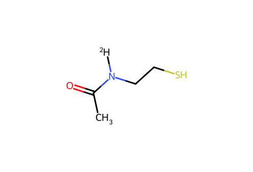 [2H]N(CCS)C(C)=O